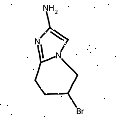 Nc1cn2c(n1)CCC(Br)C2